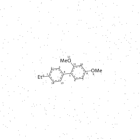 CCc1ccc(-c2ccc(OC)cc2OC)cc1